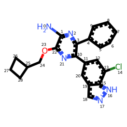 Nc1nc(-c2ccccc2)c(-c2cc(Cl)c3[nH]ncc3c2)nc1OCC1CCC1